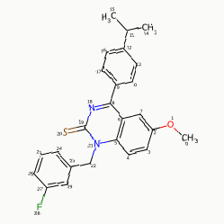 COc1ccc2c(c1)c(-c1ccc(C(C)C)cc1)nc(=S)n2Cc1cccc(F)c1